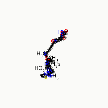 Cc1c(Nc2nc3ccccc3s2)nnc2c1CCCN2c1ccc(-c2cnn(CC34CC5(C)CC(C)(C3)CC(OCCN(C)CCCCCCCCCCCC(=O)N3CCC(c6ccc7c(c6)CN(C6CCC(=O)NC6=O)C7=O)CC3)(C5)C4)c2C)c(C(=O)O)n1